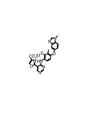 CCOC(=O)c1coc(-c2cncnc2Nc2ccc(Oc3ccc4c(c3)ncn4C)c(C)c2F)n1